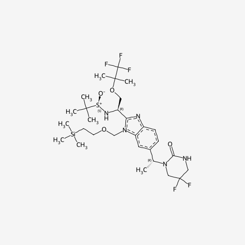 C[C@H](c1ccc2nc([C@H](COC(C)(C)C(F)(F)F)N[S@+]([O-])C(C)(C)C)n(COCC[Si](C)(C)C)c2c1)N1CC(F)(F)CNC1=O